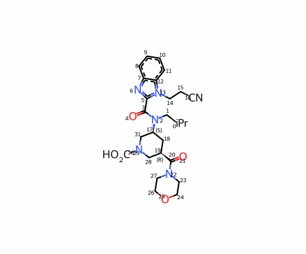 CC(C)CN(C(=O)c1nc2ccccc2n1CCC#N)[C@H]1C[C@@H](C(=O)N2CCOCC2)CN(C(=O)O)C1